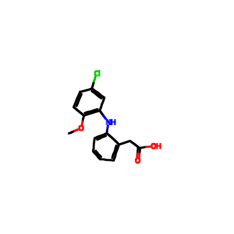 COc1ccc(Cl)cc1Nc1ccccc1CC(=O)O